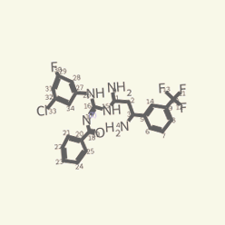 NC(CC(N)c1cccc(C(F)(F)F)c1)N/C(=N\C(=O)c1ccccc1)Nc1cc(F)cc(Cl)c1